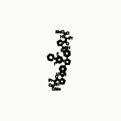 COC(=O)N[C@H](C(=O)N1CCC[C@H]1c1nc2cc([C@H]3CC[C@H](c4ccc5[nH]c([C@@H]6CCCN6C(=O)[C@@H](NC(=O)OC)C(C)C)nc5c4)N3c3cc(F)c(N4CCCCC4)c(F)c3)ccc2[nH]1)C(C)C